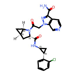 NC(=O)c1nn(CC(=O)N2[C@@H]3C[C@@H]3C[C@H]2C(=O)N[C@H]2C[C@@H]2c2ccccc2Cl)c2cnccc12